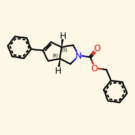 O=C(OCc1ccccc1)N1C[C@@H]2CC(c3ccccc3)=C[C@@H]2C1